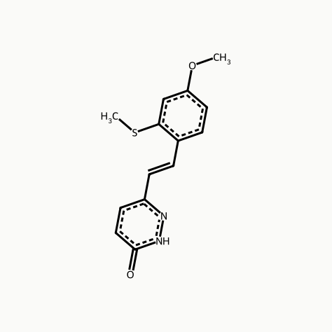 COc1ccc(/C=C/c2ccc(=O)[nH]n2)c(SC)c1